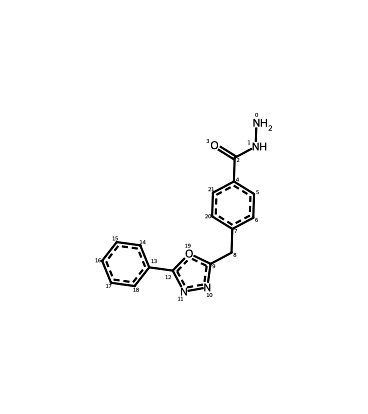 NNC(=O)c1ccc(Cc2nnc(-c3ccccc3)o2)cc1